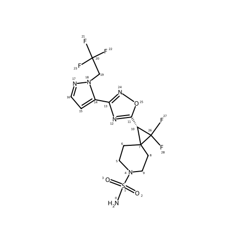 NS(=O)(=O)N1CCC2(CC1)[C@H](c1nc(-c3ccnn3CC(F)(F)F)no1)C2(F)F